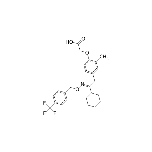 Cc1cc(CC(=NOCc2ccc(C(F)(F)F)cc2)C2CCCCC2)ccc1OCC(=O)O